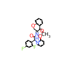 CO[C@@H]1c2ccccc2OC[C@H]1NC(=O)C(c1ccc(F)cc1F)n1ccccc1=O